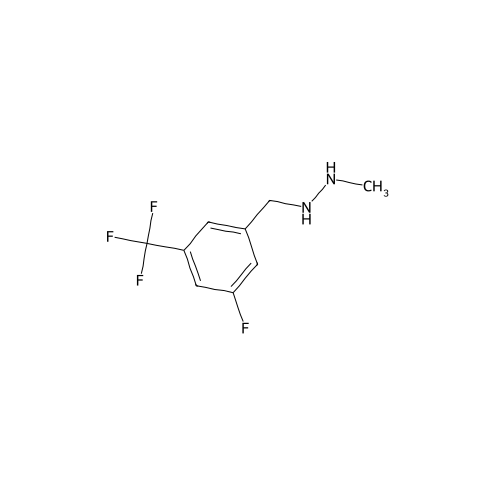 CNNCc1cc(F)cc(C(F)(F)F)c1